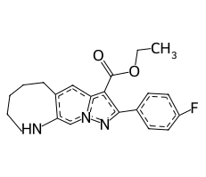 CCOC(=O)c1c(-c2ccc(F)cc2)nn2cc3c(cc12)CCCCCN3